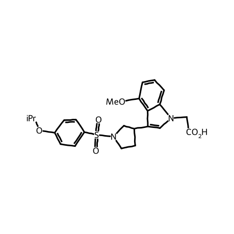 COc1cccc2c1c(C1CCN(S(=O)(=O)c3ccc(OC(C)C)cc3)C1)cn2CC(=O)O